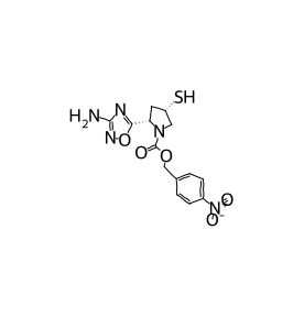 Nc1noc([C@@H]2C[C@H](S)CN2C(=O)OCc2ccc([N+](=O)[O-])cc2)n1